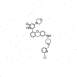 O=c1cc(N2CCOCC2)cc(-c2cccc3c2Oc2ccc(NC4CCN(Cc5cccc(C6CC6)n5)CC4)cc2C3)[nH]1